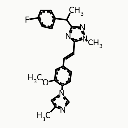 COc1cc(C=Cc2nc(C(C)c3ccc(F)cc3)nn2C)ccc1-n1cnc(C)c1